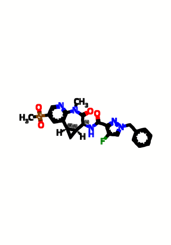 CN1C(=O)[C@@H](NC(=O)c2nn(Cc3ccccc3)cc2F)[C@H]2C[C@H]2c2cc(S(C)(=O)=O)cnc21